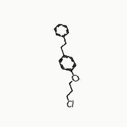 ClCCCOc1ccc(CCc2ccccc2)cc1